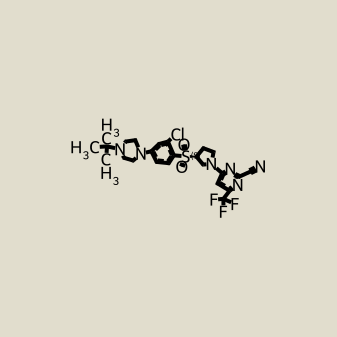 CC(C)(C)N1CCN(c2ccc(S(=O)(=O)[C@H]3CCN(c4cc(C(F)(F)F)nc(C#N)n4)C3)c(Cl)c2)CC1